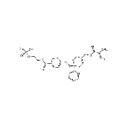 C=C(C)C(=O)OCC1=CCC(SCc2ccc(C(=O)OCCOP(=O)(O)O)cc2)(c2ccccn2)SC1